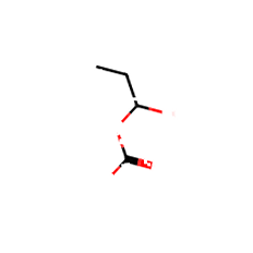 CCC(O)OC(=O)O